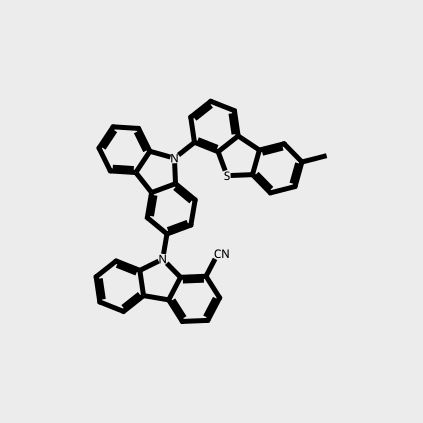 Cc1ccc2sc3c(-n4c5ccccc5c5cc(-n6c7ccccc7c7cccc(C#N)c76)ccc54)cccc3c2c1